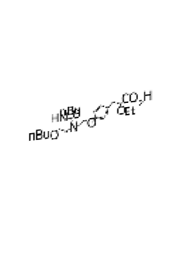 CCCCNC(=O)N(CCOCCCC)CCOc1ccc(CC(OCC)C(=O)O)cc1